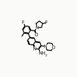 Cc1cc(F)cc(C(=O)N2CCC(F)C2)c1-c1ccc2nc(N)c(N3CCOCC3)cc2c1